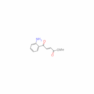 COC(=O)/C=C/C(=O)c1ccccc1N